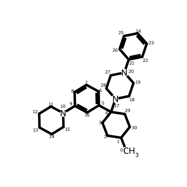 CC1CCC(c2cccc(N3CCCCC3)c2)(N2CCN(c3ccccc3)CC2)CC1